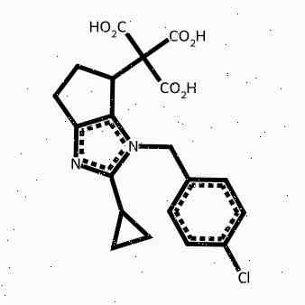 O=C(O)C(C(=O)O)(C(=O)O)C1CCc2nc(C3CC3)n(Cc3ccc(Cl)cc3)c21